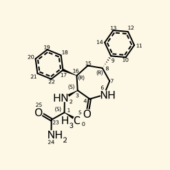 C[C@H](N[C@@H]1C(=O)NC[C@@H](c2ccccc2)C[C@@H]1c1ccccc1)C(N)=O